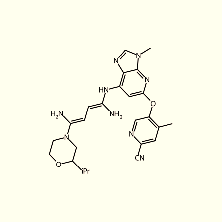 Cc1cc(C#N)ncc1Oc1cc(N/C(N)=C/C=C(\N)N2CCOC(C(C)C)C2)c2ncn(C)c2n1